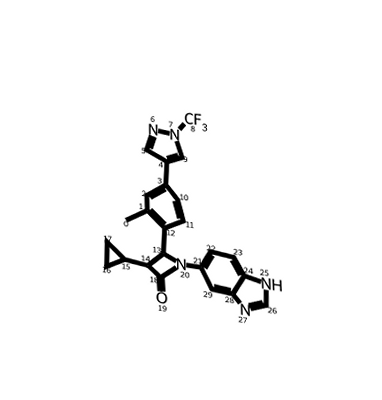 Cc1cc(-c2cnn(C(F)(F)F)c2)ccc1C1C(C2CC2)C(=O)N1c1ccc2[nH]cnc2c1